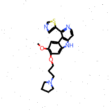 COc1cc2c(cc1OCCCN1CCCC1)[nH]c1ccnc(-c3cncs3)c12